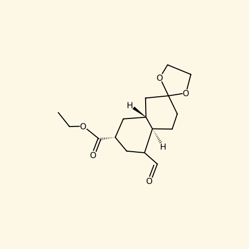 CCOC(=O)[C@H]1CC(C=O)[C@@H]2CCC3(C[C@H]2C1)OCCO3